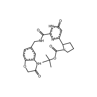 CC(C)(C)OC(=O)N1CCCC1c1cc(=O)[nH]c(C(=O)NCc2ccc3c(c2)NC(=O)CO3)n1